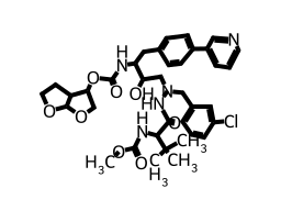 COC(=O)NC(C(=O)NN(Cc1cccc(Cl)c1)CC(O)C(Cc1ccc(-c2cccnc2)cc1)NC(=O)OC1COC2OCCC12)C(C)(C)C